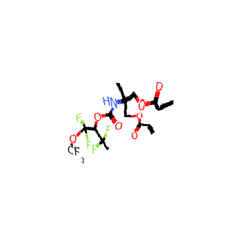 C=CC(=O)OCC(C)(COC(=O)C=C)NC(=O)OC(C(C)(F)F)C(F)(F)OC(F)(F)F